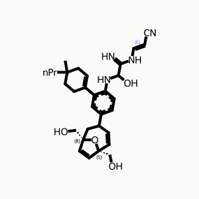 CCCC1(C)CC=C(c2cc(C3C=C[C@@]4(CO)C=C[C@@](CO)(C3)O4)ccc2NC(O)C(=N)N/C=C/C#N)CC1